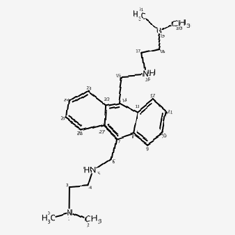 CN(C)CCNCc1c2ccccc2c(CNCCN(C)C)c2ccccc12